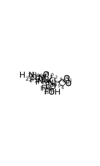 Cc1cc(-c2ccc3c(c2)OCO3)cnc1-n1cnn(CC(CN)=C(F)F)c1=O.O=C(O)C(F)(F)F